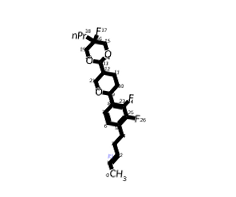 C/C=C/CCc1ccc(C2CCC(C3OCC(F)(CCC)CO3)CO2)c(F)c1F